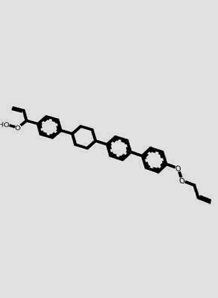 C=CCOOc1ccc(-c2ccc(C3CCC(c4ccc(C(C=C)OO)cc4)CC3)cc2)cc1